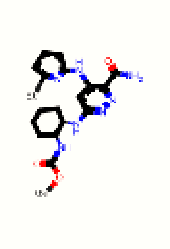 CCc1cccc(Nc2cc(N[C@@H]3CCCC[C@@H]3NC(=O)OC(C)(C)C)nnc2C(N)=O)n1